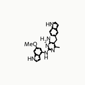 COc1cc(Nc2nc(C)c(Cc3ccc4[nH]ccc4c3)c(N)n2)c2cc[nH]c2c1